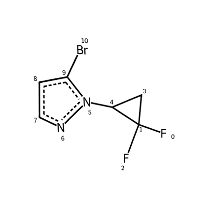 FC1(F)CC1n1nccc1Br